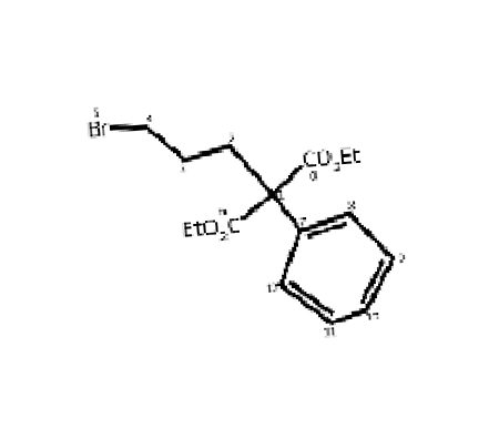 CCOC(=O)C(CCCBr)(C(=O)OCC)c1ccccc1